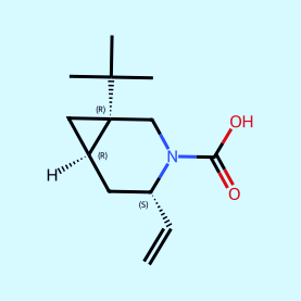 C=C[C@@H]1C[C@H]2C[C@@]2(C(C)(C)C)CN1C(=O)O